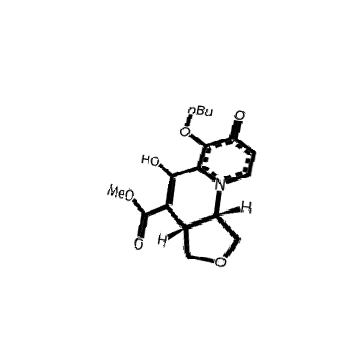 CCCCOc1c2n(ccc1=O)[C@@H]1COC[C@@H]1C(C(=O)OC)=C2O